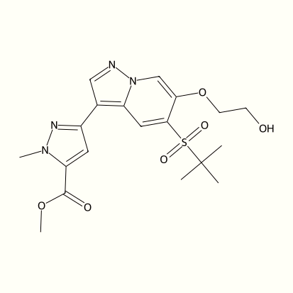 COC(=O)c1cc(-c2cnn3cc(OCCO)c(S(=O)(=O)C(C)(C)C)cc23)nn1C